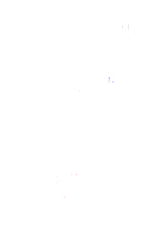 C=Cc1ccccc1N1CCO[C@@H](c2ccc(OS(=O)(=O)c3ccccc3)cc2)C1